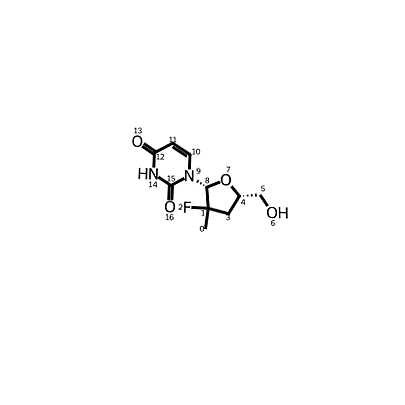 CC1(F)C[C@@H](CO)O[C@H]1n1ccc(=O)[nH]c1=O